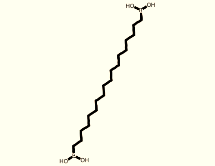 OB(O)CCCCCCCCCCCCCCCCCCB(O)O